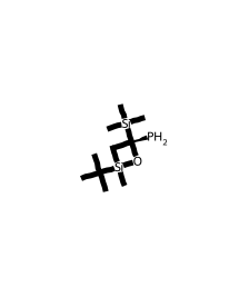 CC(C)(C)[Si]1(C)C[C@](P)([Si](C)(C)C)O1